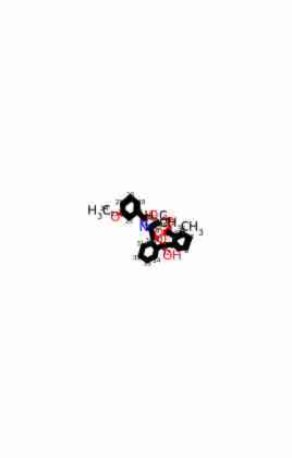 COC(=O)c1c(C)cccc1C(O)(OCc1nc(-c2cccc(OC)c2)oc1C)C1CCCCC1